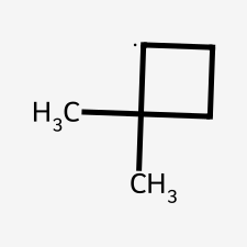 CC1(C)[CH]CC1